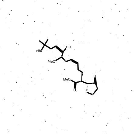 CCCCC(C)(C)C/C=C(/O)C(C/C=C\CC[C@H](C(=O)OC)[C@H]1CCCC1=O)OC